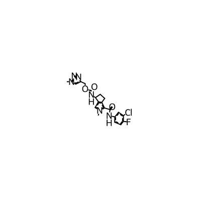 Cn1cc(COC(=O)NC2CCc3c2cn(C)c3C(=O)Nc2ccc(F)c(Cl)c2)nn1